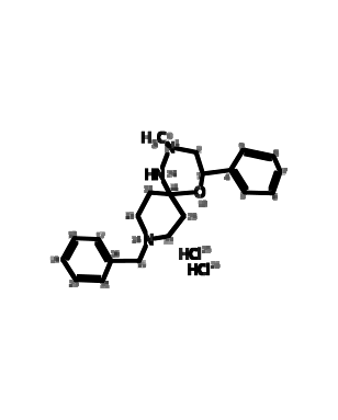 CN1CC(c2ccccc2)OC2(CCN(Cc3ccccc3)CC2)N1.Cl.Cl